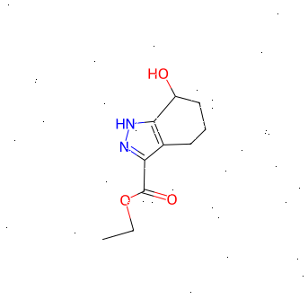 CCOC(=O)c1n[nH]c2c1CCCC2O